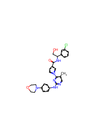 Cc1cnc(Nc2ccc(N3CCOCC3)cc2)nc1-n1ccc(C(=O)NC(CO)c2cccc(Cl)c2)c1